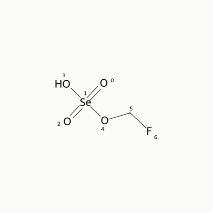 O=[Se](=O)(O)OCF